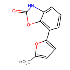 O=C(O)c1ccc(-c2cccc3[nH]c(=O)oc23)o1